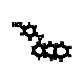 Oc1ccc(Oc2cccc3cc4ccccc4cc23)cc1